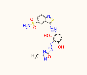 Cc1noc(/N=N/c2c(O)ccc(/N=N/c3snc4ccc(S(N)(=O)=O)cc34)c2O)n1